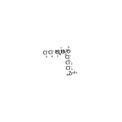 O.[Cl-].[Cl-].[Cl-].[Cl-].[Cl-].[Cl-].[OH4+2].[Zr+4]